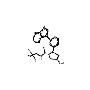 O=C(NCC(F)(F)F)[C@H]1C[C@H](O)CN1c1ccnc(-c2c[nH]c3ncccc23)n1